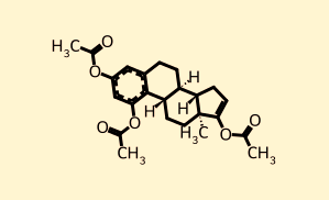 CC(=O)OC1=CC[C@H]2[C@@H]3CCc4cc(OC(C)=O)cc(OC(C)=O)c4[C@H]3CC[C@]12C